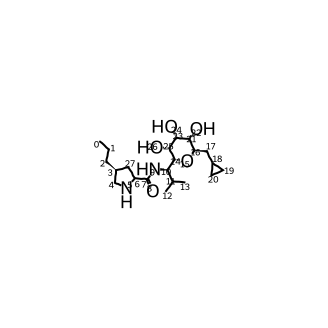 CCC[C@@H]1CNC(C(=O)N[C@H](C(C)C)[C@H]2O[C@H](CC3CC3)[C@H](O)[C@@H](O)[C@H]2O)C1